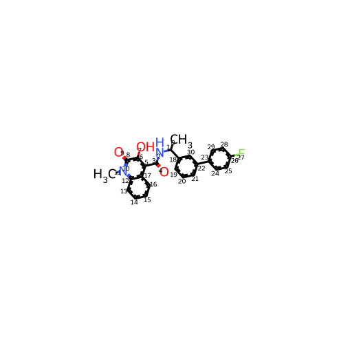 CC(NC(=O)c1c(O)c(=O)n(C)c2ccccc12)c1cccc(-c2ccc(F)cc2)c1